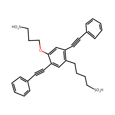 O=S(=O)(O)CCCCc1cc(C#Cc2ccccc2)c(OCCCS(=O)(=O)O)cc1C#Cc1ccccc1